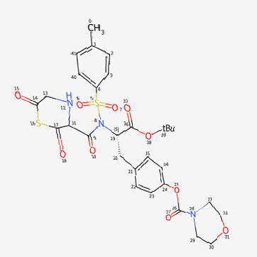 Cc1ccc(S(=O)(=O)N(C(=O)C2NCC(=O)SC2=O)[C@@H](Cc2ccc(OC(=O)N3CCOCC3)cc2)C(=O)OC(C)(C)C)cc1